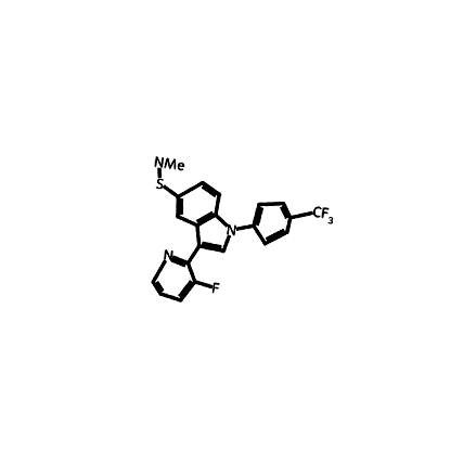 CNSc1ccc2c(c1)c(-c1ncccc1F)cn2-c1ccc(C(F)(F)F)cc1